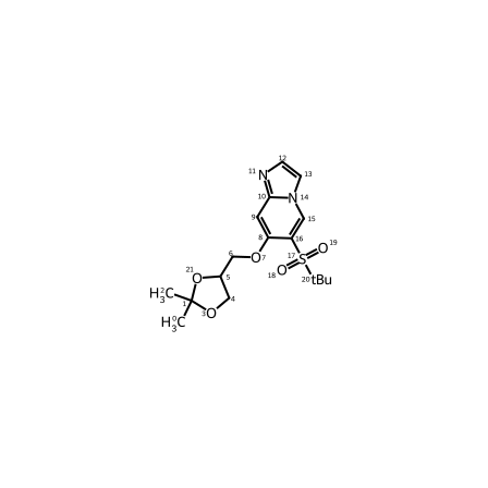 CC1(C)OCC(COc2cc3nccn3cc2S(=O)(=O)C(C)(C)C)O1